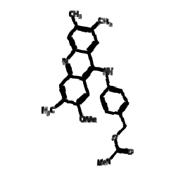 CNC(=O)OCc1ccc(Nc2c3cc(C)c(C)cc3nc3cc(C)c(OC)cc23)cc1